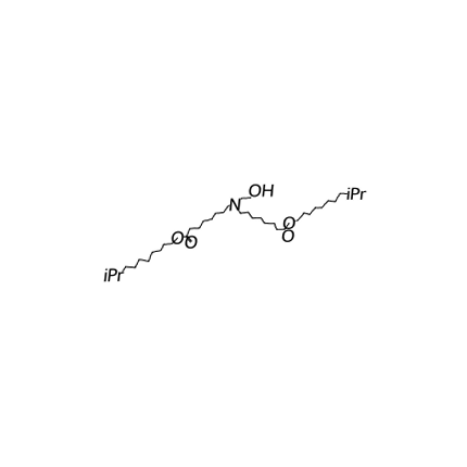 CC(C)CCCCCCCCOC(=O)CCCCCCCN(CCO)CCCCCCCC(=O)OCCCCCCCCC(C)C